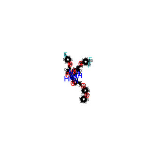 CC1(CCOc2ccc(F)cc2)COC(N(NC2=NC(CCOc3ccc(Oc4ccccc4)cc3)CO2)NC2=N[C@@](C)(CCOc3ccc(F)c(F)c3)CO2)=N1